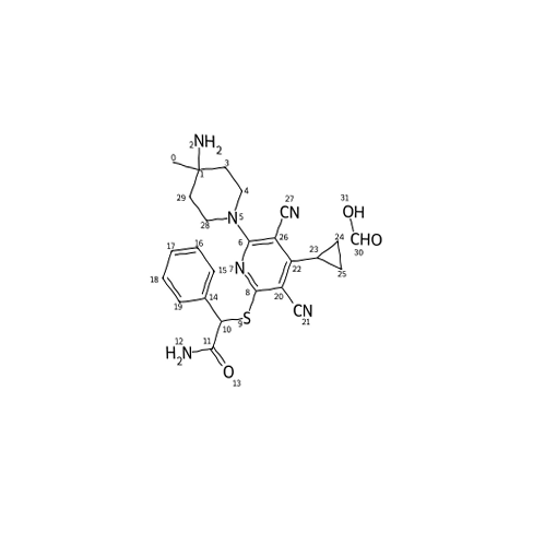 CC1(N)CCN(c2nc(SC(C(N)=O)c3ccccc3)c(C#N)c(C3CC3)c2C#N)CC1.O=CO